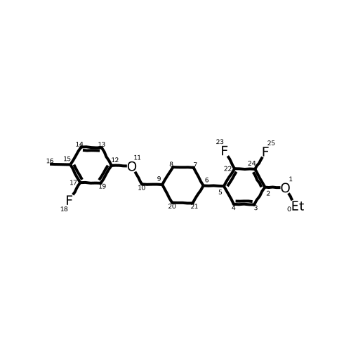 CCOc1ccc(C2CCC(COc3ccc(C)c(F)c3)CC2)c(F)c1F